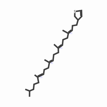 C/C(=C\CC/C(C)=C/CCC1C=CSC1)CC/C=C(\C)CC/C=C(\C)CCCC(C)C